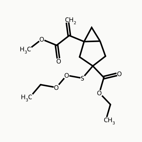 C=C(C(=O)OC)C12CC1CC(SOOCC)(C(=O)OCC)C2